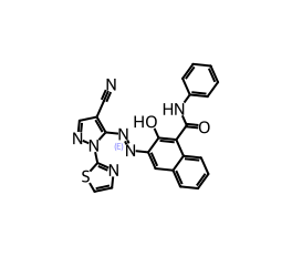 N#Cc1cnn(-c2nccs2)c1/N=N/c1cc2ccccc2c(C(=O)Nc2ccccc2)c1O